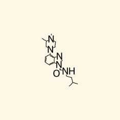 CC(C)CCNC(=O)n1cnc2c(N3CCN(C)C(C)C3)cccc21